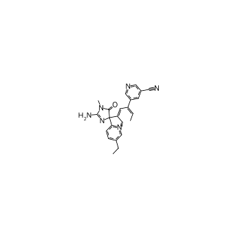 C=C/C(=C\C(=C/C)c1cncc(C#N)c1)C1(c2ccc(CC)cn2)N=C(N)N(C)C1=O